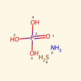 N.O=P(O)(O)O.S